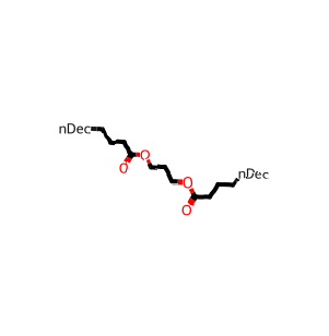 CCCCCCCCCCCCCC(=O)OCCCOC(=O)CCCCCCCCCCCCC